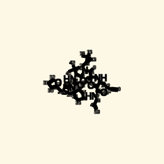 C#CCCC(NC(=O)C(C)N(CC1CC1(C)C)C(=O)[C@@H](NC(=O)NC1(C[S+]([O-])Cc2ccco2)CCCCC1)C(C)(C)C)C(=O)C(=O)NCC=C